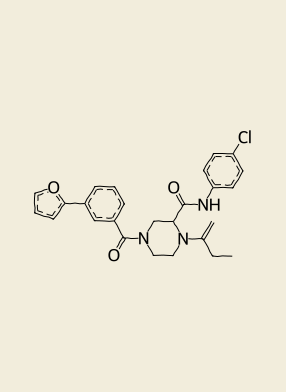 C=C(CC)N1CCN(C(=O)c2cccc(-c3ccco3)c2)CC1C(=O)Nc1ccc(Cl)cc1